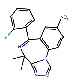 CC1(C)N=C(c2ccccc2F)c2cc([N+](=O)[O-])ccc2-n2cnnc21